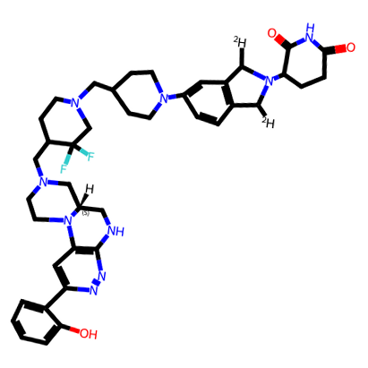 [2H]C1c2ccc(N3CCC(CN4CCC(CN5CCN6c7cc(-c8ccccc8O)nnc7NC[C@H]6C5)C(F)(F)C4)CC3)cc2C([2H])N1C1CCC(=O)NC1=O